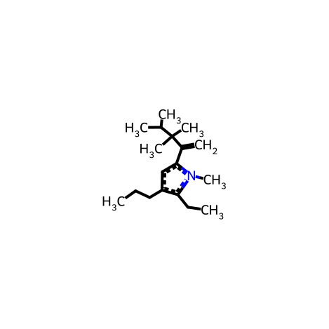 C=C(c1cc(CCC)c(CC)n1C)C(C)(C)C(C)C